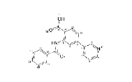 O=C(Nc1cc(-c2cccnc2)ccc1C(=O)O)c1ccccc1